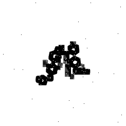 CO[C@H]1[C@H](N)C[C@H](c2ccncc2Nc2ncc3ccc(-c4c(F)cc(OC5CCOC5)cc4F)nn23)C[C@@H]1C